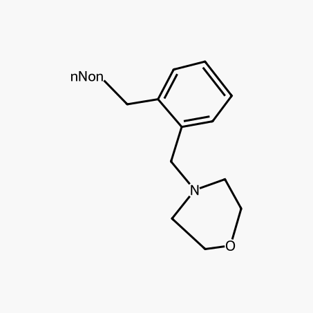 CCCCCCCCCCc1ccccc1CN1CCOCC1